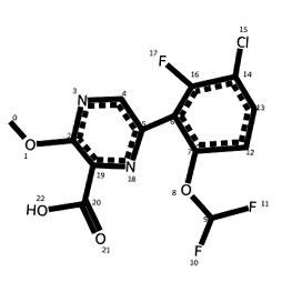 COc1ncc(-c2c(OC(F)F)ccc(Cl)c2F)nc1C(=O)O